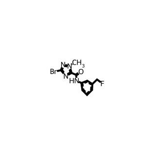 Cn1nc(Br)nc1C(=O)Nc1cccc(CF)c1